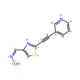 O/N=C\c1csc(C#Cc2cccnc2)n1